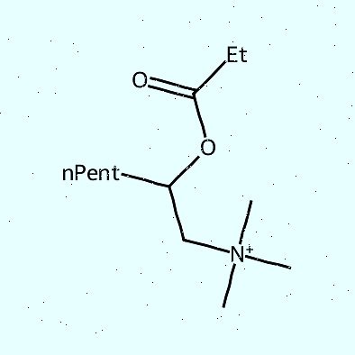 CCCCCC(C[N+](C)(C)C)OC(=O)CC